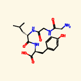 CC(C)C[C@H](NC(=O)CNC(=O)CN)C(=O)N[C@@H](Cc1ccc(O)cc1)C(=O)O